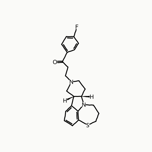 O=C(CCN1CC[C@H]2[C@@H](C1)c1cccc3c1N2CCCS3)c1ccc(F)cc1